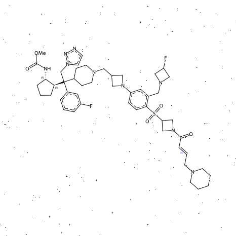 COC(=O)N[C@H]1CCC[C@@H]1C(Cn1ccnn1)(c1cccc(F)c1)C1CCN(CC2CN(c3ccc(S(=O)(=O)C4CN(C(=O)/C=C/CN5CCCCC5)C4)c(CN4CC(F)C4)c3)C2)CC1